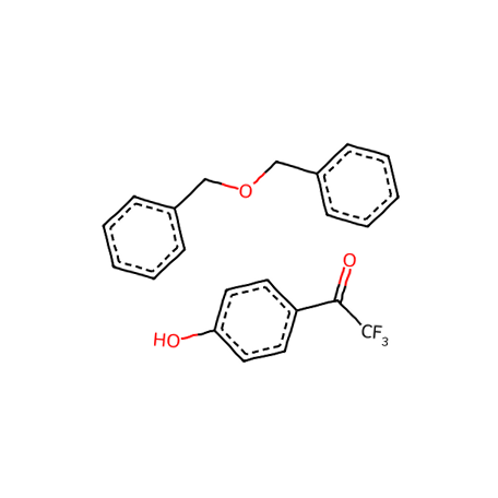 O=C(c1ccc(O)cc1)C(F)(F)F.c1ccc(COCc2ccccc2)cc1